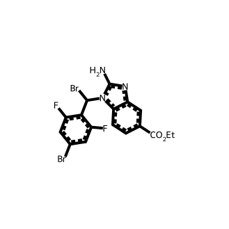 CCOC(=O)c1ccc2c(c1)nc(N)n2C(Br)c1c(F)cc(Br)cc1F